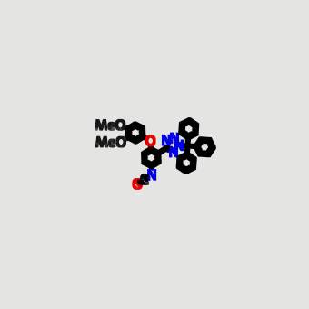 COc1ccc(Oc2ccc(N=C=O)cc2-c2nnn(C(c3ccccc3)(c3ccccc3)c3ccccc3)n2)cc1OC